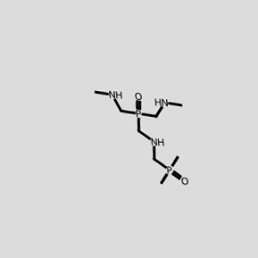 CNCP(=O)(CNC)CNCP(C)(C)=O